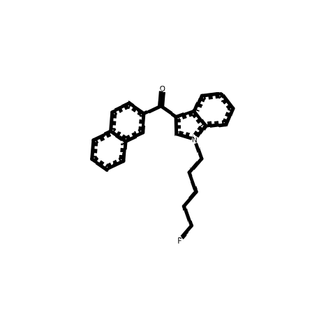 O=C(c1ccc2ccccc2c1)c1cn(CCCCCF)c2ccccc12